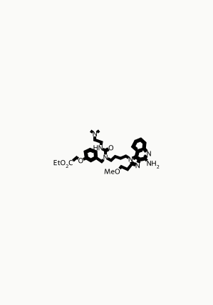 CCOC(=O)COc1cccc(CN(CCCCn2c(CCOC)nc3c(N)nc4ccccc4c32)C(=O)NCCN(C)C)c1